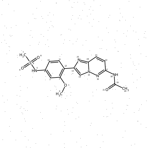 COc1cc(NS(C)(=O)=O)ccc1-c1cn2nc(NC(C)=O)ccc2n1